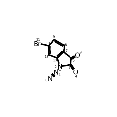 N#[N+]N1C(=O)C(=O)c2ccc(Br)cc21